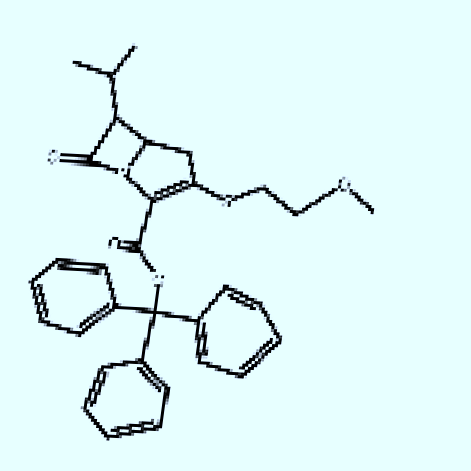 COCCSC1=C(C(=O)OC(c2ccccc2)(c2ccccc2)c2ccccc2)N2C(=O)C(C(C)C)C2C1